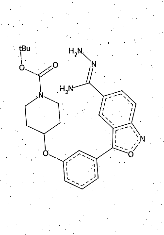 CC(C)(C)OC(=O)N1CCC(Oc2cccc(-c3onc4ccc(/C(N)=N/N)cc34)c2)CC1